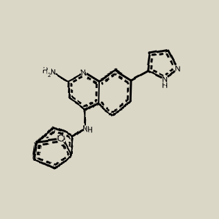 Nc1cc(Nc2cc3ccc2o3)c2ccc(-c3ccn[nH]3)cc2n1